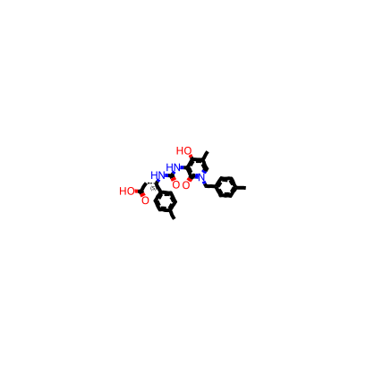 Cc1ccc(Cn2cc(C)c(O)c(NC(=O)N[C@@H](CC(=O)O)c3ccc(C)cc3)c2=O)cc1